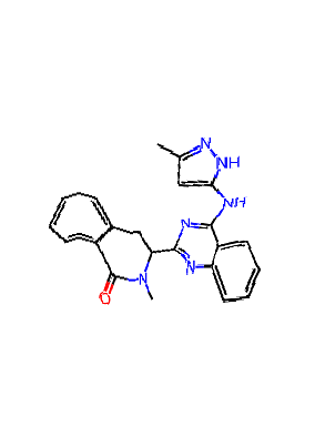 Cc1cc(Nc2nc(C3Cc4ccccc4C(=O)N3C)nc3ccccc23)[nH]n1